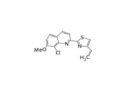 C=Cc1csc(-c2c[c]c3ccc(OC)c(Cl)c3n2)n1